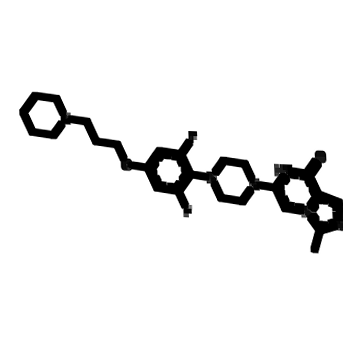 Cc1ncc2c(=O)[nH]c(N3CCN(c4c(F)cc(OCCCN5CCCCC5)cc4F)CC3)cn12